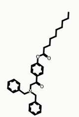 CCCCCCCCCC(=O)Oc1ccc(C(=O)CN(Cc2ccccc2)Cc2ccccc2)cc1